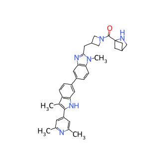 Cc1cc(-c2[nH]c3cc(-c4ccc5c(c4)nc(CC4CN(C(=O)C67CC(CN6)C7)C4)n5C)ccc3c2C)cc(C)n1